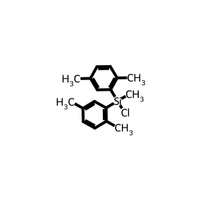 Cc1ccc(C)c([Si](C)(Cl)c2cc(C)ccc2C)c1